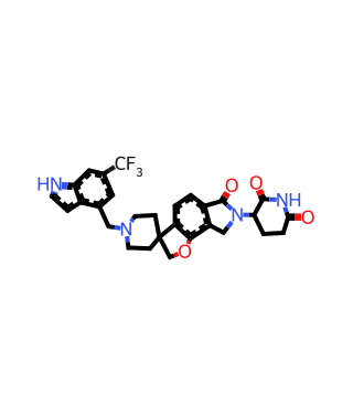 O=C1CCC(N2Cc3c(ccc4c3OCC43CCN(Cc4cc(C(F)(F)F)cc5[nH]ccc45)CC3)C2=O)C(=O)N1